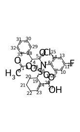 CC(=O)O[C@H](C(=O)N(c1ccc(F)cc1Cl)S(=O)(=O)[C@@H]1CCCC=C1C(=O)O)c1ccccc1